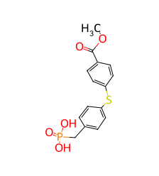 COC(=O)c1ccc(Sc2ccc(CP(=O)(O)O)cc2)cc1